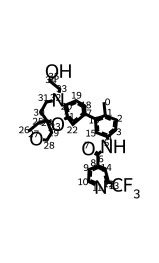 Cc1ccc(NC(=O)c2ccnc(C(F)(F)F)c2)cc1-c1ccc2c(c1)OC1(CCOCC1)CCN2CCO